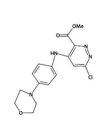 COC(=O)c1nnc(Cl)cc1Nc1ccc(N2CCOCC2)cc1